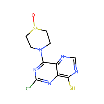 [O-][S+]1CCN(c2nc(Cl)nc3c(S)ncnc23)CC1